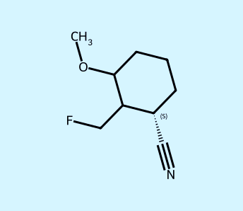 COC1CCC[C@H](C#N)C1CF